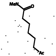 CNC(=O)CCCCCC(C)=O